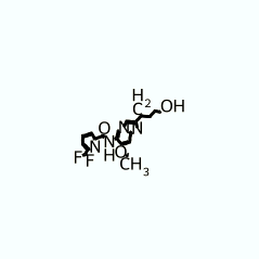 C=C(CCCO)c1cn2cc(NC(=O)c3cccc(C(F)F)n3)c(OCC)cc2n1